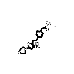 Cl.Cl.NNC(=O)Cc1ccc(CCc2ccc(N3CCOCC3)s2)cc1